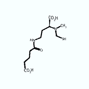 CN(CS)[C@@H](CCNC(=O)CCCC(=O)O)C(=O)O